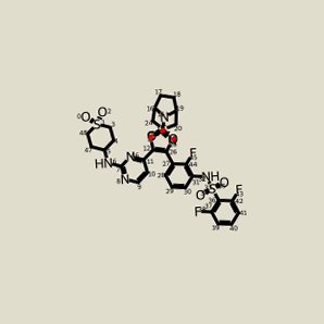 O=S1(=O)CCC(Nc2nccc(-c3sc(N4C5CCC4CS(=O)(=O)C5)nc3-c3cccc(NS(=O)(=O)c4c(F)cccc4F)c3F)n2)CC1